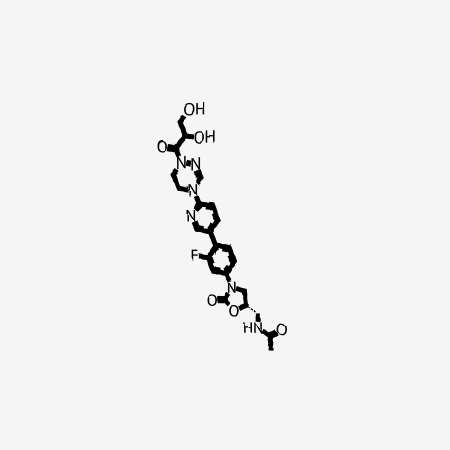 CC(=O)NC[C@H]1CN(c2ccc(-c3ccc(N4C=NN(C(=O)C(O)CO)CC4)nc3)c(F)c2)C(=O)O1